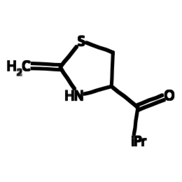 C=C1NC(C(=O)C(C)C)CS1